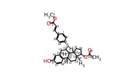 COC(=O)C=Cc1ccc(SC2Cc3cc(O)ccc3[C@H]3CC[C@]4(C)C(OC(C)=O)CC[C@H]4[C@H]23)cc1